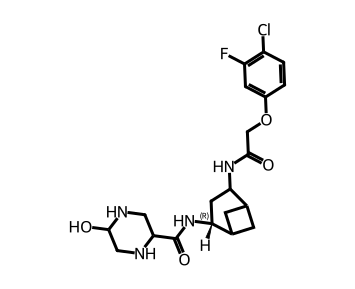 O=C(COc1ccc(Cl)c(F)c1)NC1C[C@@H](NC(=O)C2CNC(O)CN2)C2CC1C2